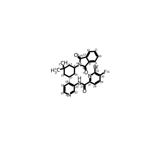 CC1(C)CC(N2C(=O)c3ccccc3C2=O)C[C@H](c2ccncc2NC(=O)c2ccc(F)c(Br)n2)C1